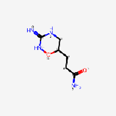 N=C1NCC(CCC(N)=O)ON1